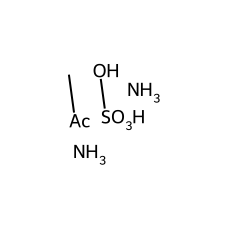 CC(C)=O.N.N.O=S(=O)(O)O